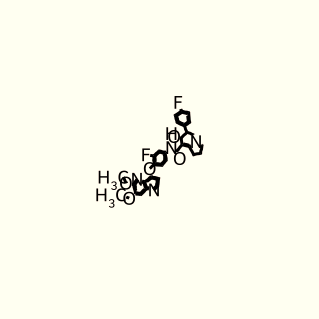 COc1cc2nccc(Oc3ccc(NC(=O)C4=C5CCCN5CC(c5ccc(F)cc5)C4=O)cc3F)c2nc1OC